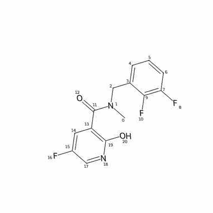 CN(Cc1cccc(F)c1F)C(=O)c1cc(F)cnc1O